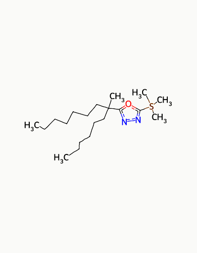 CCCCCCCC(C)(CCCCCC)c1nnc(S(C)(C)C)o1